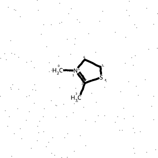 [CH2][N+]1=C(C)SCC1